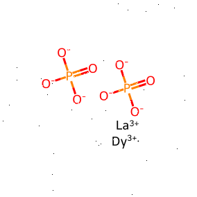 O=P([O-])([O-])[O-].O=P([O-])([O-])[O-].[Dy+3].[La+3]